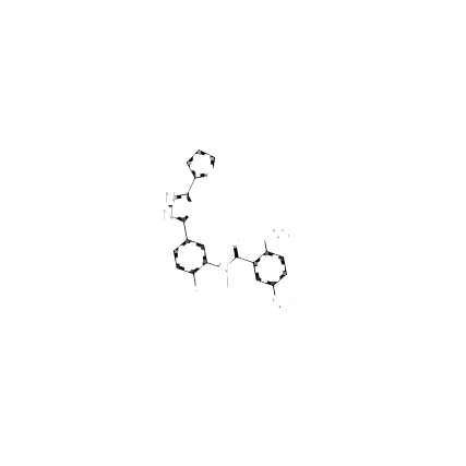 COc1ccc([N+](=O)[O-])cc1C(=O)Nc1cc(-c2nnc(-c3ccco3)o2)ccc1F